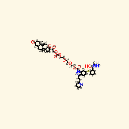 CNC(O)c1ccccc1Sc1ccc2c(/C=C/c3ccccn3)nn(C(=O)OCCOCCOCCOC(=O)OCC(=O)[C@@]34CC[C@H]5[C@@H]6CCC7=CC(=O)CC[C@]7(C)C6=CC[C@@]53O4)c2c1